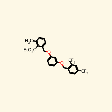 CCOC(=O)c1c(C)cccc1COc1cccc(OCc2ccc(C(F)(F)F)cc2C(F)(F)F)c1